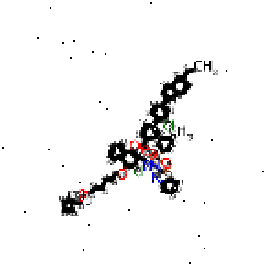 CCCc1ccc2cc(-c3ccc(-c4ccc(C(=O)Oc5c(/C=N/N(c6nc7ccccc7s6)S(=O)(=O)c6ccc(C)cc6)c(Cl)c(OCCCCCCOCC6(C)CCC6)c6ccccc56)cc4)c(Cl)c3)ccc2c1